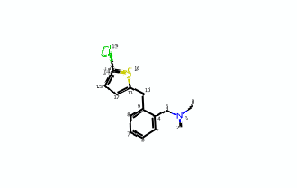 CN(C)Cc1ccccc1Cc1ccc(Cl)s1